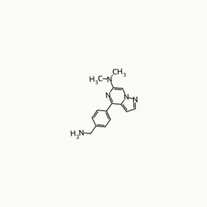 CN(C)c1cn2nccc2c(-c2ccc(CN)cc2)n1